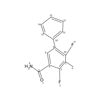 Cc1c(F)c(C(N)=O)cc(-c2ccccc2)c1F